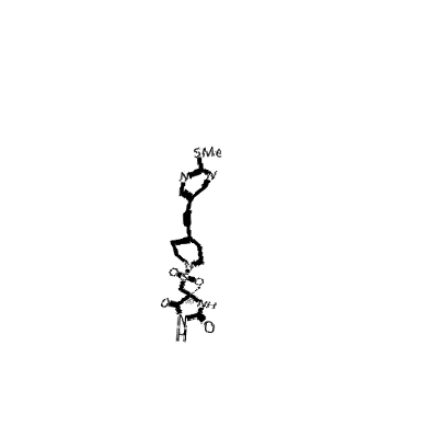 CSc1ncc(C#CC2=CCN(S(=O)(=O)C[C@@]3(C)NC(=O)NC3=O)CC2)cn1